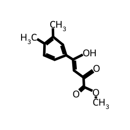 COC(=O)C(=O)C=C(O)c1ccc(C)c(C)c1